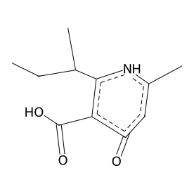 CCC(C)c1[nH]c(C)cc(=O)c1C(=O)O